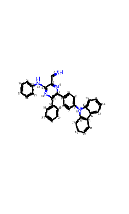 N=Cc1nc(-c2ccc(-n3c4c(c5ccccc53)C=CCC4)cc2)c(-c2ccccc2)nc1Nc1ccccc1